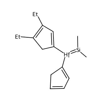 CCC1=C(CC)C[C]([Hf]([C]2=CC=CC2)=[Si](C)C)=C1